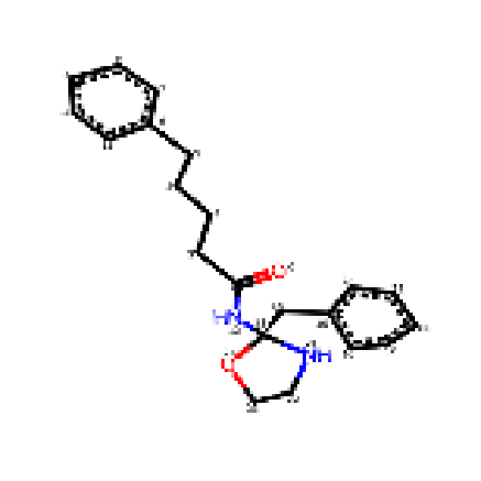 O=C(CCCCc1ccccc1)N[C@]1(Cc2ccccc2)NCCO1